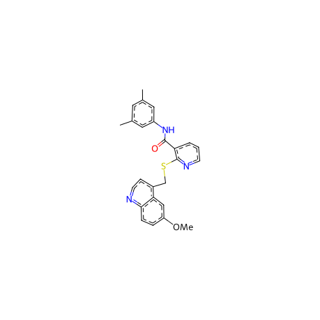 COc1ccc2nccc(CSc3ncccc3C(=O)Nc3cc(C)cc(C)c3)c2c1